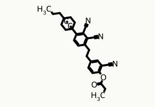 CCCC12CCC(c3ccc(CCc4ccc(OC(=O)CC)c(C#N)c4)c(C#N)c3C#N)(CC1)CC2